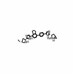 CC[C@H]1CN[C@H](c2ncc(-c3ccc(-c4ccc(-c5cnc([C@@H]6CC7C[C@H]7N6)[nH]5)cc4)c4c3CCC4)[nH]2)C1